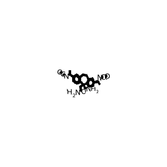 CC(N=C=O)c1ccc2c(c1)CCc1cc(C(C)N=C=O)ccc1C2(CCN)C(N)=O